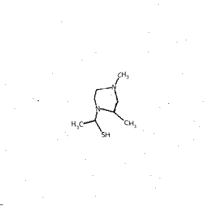 CC(S)N1CCN(C)CC1C